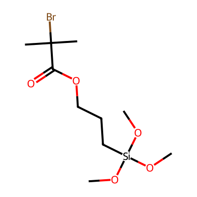 CO[Si](CCCOC(=O)C(C)(C)Br)(OC)OC